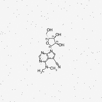 CN(C)c1ncnc2c1c(C#N)cn2[C@@H]1O[C@H](CO)[C@@H](O)[C@H]1O